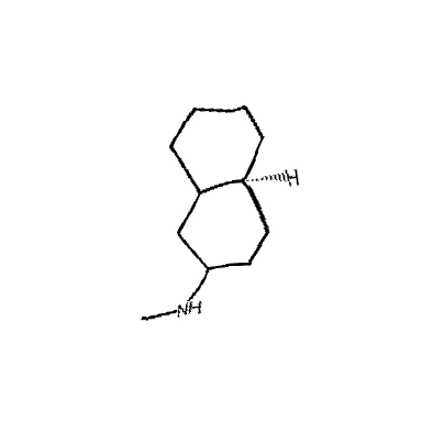 CNC1CC[C@@H]2CCCCC2C1